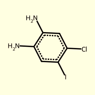 Nc1cc(Cl)c(I)cc1N